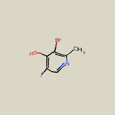 Cc1ncc(I)c(O)c1Br